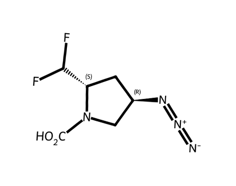 [N-]=[N+]=N[C@@H]1C[C@@H](C(F)F)N(C(=O)O)C1